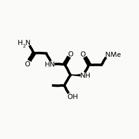 CNCC(=O)N[C@H](C(=O)NCC(N)=O)C(C)O